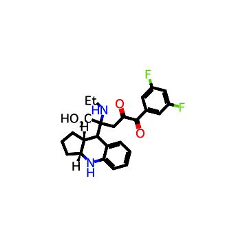 CCNC(CC(=O)C(=O)c1cc(F)cc(F)c1)(C(=O)O)C1c2ccccc2N[C@@H]2CCC[C@H]12